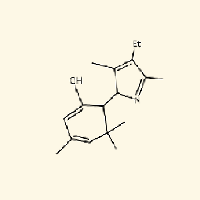 CCC1=C(C)C(C2C(O)=CC(C)=CC2(C)C)N=C1C